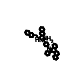 NC(NC(/C=C/c1ccc2ccccc2c1)c1ccc2ccccc2c1)c1ccc(-n2c3ccccc3c3c4c5ccccc5ccc4c4ccccc4c32)cc1